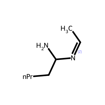 C/C=N\C(N)CCCC